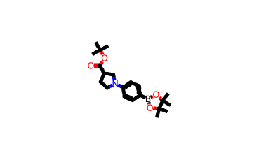 CC(C)(C)OC(=O)C1CCN(c2ccc(B3OC(C)(C)C(C)(C)O3)cc2)C1